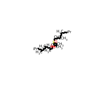 Cc1c(C)c2c(c(C)c1OC(=O)CC(C)CCCC(C)CCCC(C)CCCC(C)C)SC(CC(C)CCCC(C)CCCC(C)CCCC(C)C)O2